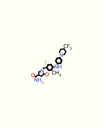 Cc1cc(CN2CC(C(N)=O)CC2=O)c(F)cc1Nc1ccc(N2CCC(C(F)(F)F)CC2)cc1